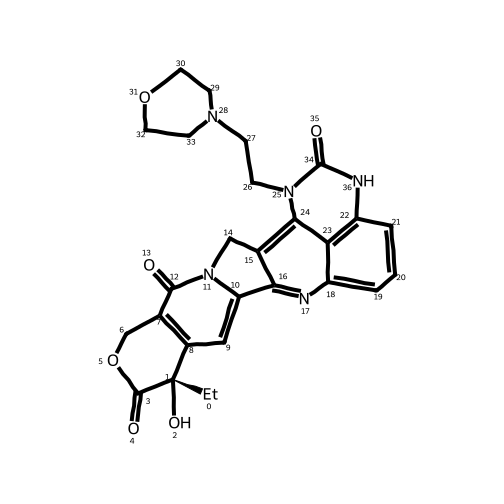 CC[C@@]1(O)C(=O)OCc2c1cc1n(c2=O)Cc2c-1nc1cccc3c1c2N(CCN1CCOCC1)C(=O)N3